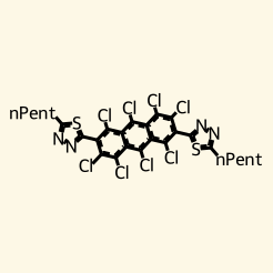 CCCCCc1nnc(-c2c(Cl)c(Cl)c3c(Cl)c4c(Cl)c(-c5nnc(CCCCC)s5)c(Cl)c(Cl)c4c(Cl)c3c2Cl)s1